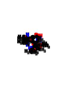 Cc1ccc(C(=O)N[C@@H](CCNC(=O)OC(C)(C)C)C(=O)N(C)[C@@H]2C(=O)N[C@@H](C)C(=O)N[C@H](C(=O)O)Cc3ccc(OCCNC(=O)OC(C)(C)C)c(c3)-c3cc2ccc3OCCNC(=O)OC(C)(C)C)c(OCC(=O)OCC(C)C)c1